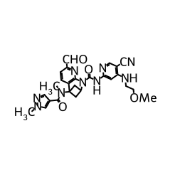 COCCNc1cc(NC(=O)N2c3nc(C=O)ccc3C3(N(C)C(=O)c4cnn(C)c4)CC2C3)ncc1C#N